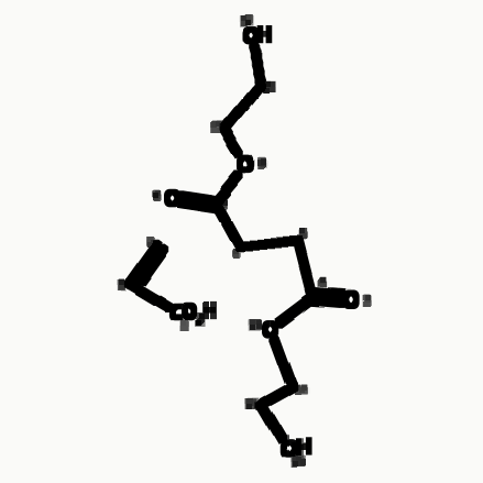 C=CC(=O)O.O=C(CCC(=O)OCCO)OCCO